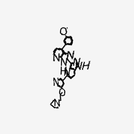 COc1cccc(-c2ccnc3[nH]c(-c4n[nH]c5ccc(-c6cncc(OCCN7CCCC7)c6)nc45)nc23)c1